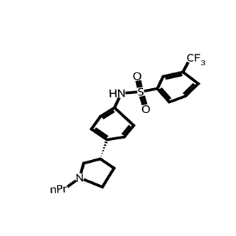 CCCN1CC[C@@H](c2ccc(NS(=O)(=O)c3cccc(C(F)(F)F)c3)cc2)C1